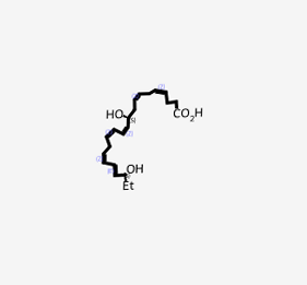 CC[C@H](O)/C=C/C=C\C/C=C\C=C/[C@@H](O)C/C=C\C/C=C\CCC(=O)O